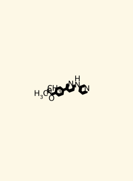 CN(C)C(=O)C1CCC(c2ccc(Nc3cccnc3)nc2)CC1